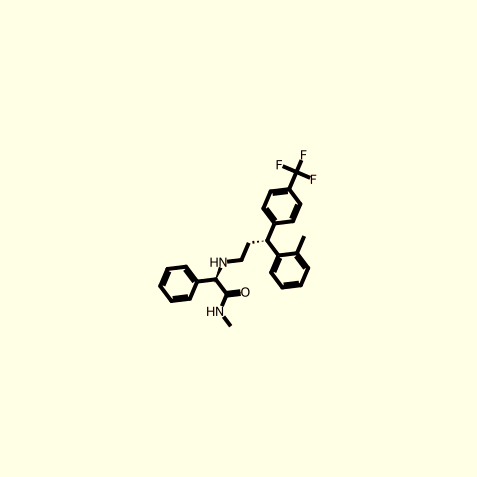 CNC(=O)[C@H](NCC[C@H](c1ccc(C(F)(F)F)cc1)c1ccccc1C)c1ccccc1